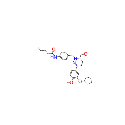 CCCCC(=O)Nc1ccc(CN2N=C(c3ccc(OC)c(OC4CCCC4)c3)CCC2C=O)cc1